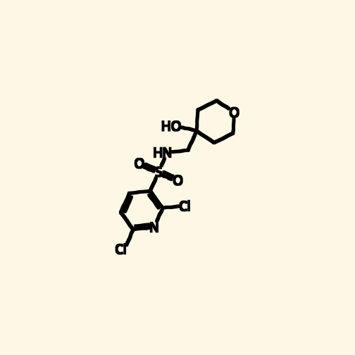 O=S(=O)(NCC1(O)CCOCC1)c1ccc(Cl)nc1Cl